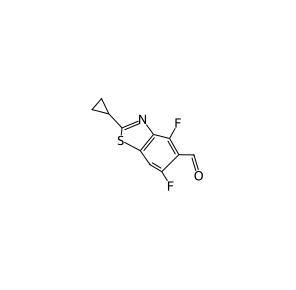 O=Cc1c(F)cc2sc(C3CC3)nc2c1F